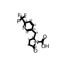 O=C(O)N1C(=O)CCC1Cc1ccc(C(F)(F)F)nc1